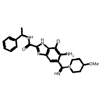 COC1CCN(C(=N)c2cc3nc(C(=O)NC(C)c4ccccc4)[nH]c3c(Cl)c2N)CC1